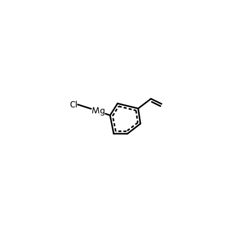 C=Cc1ccc[c]([Mg][Cl])c1